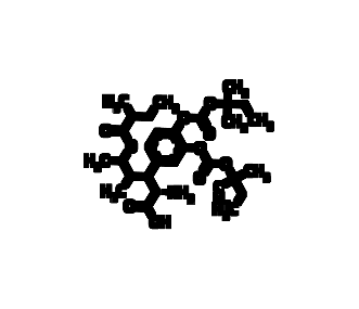 CCC(C)C(=O)OC(C)C(C)C(c1ccc(OC(=O)OC(C)(C)CC)c(OC(=O)OC(C)(C)CC)c1)[C@H](N)C(=O)O